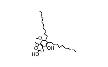 CCCCCCCCCCc1c(O)c(OC(=O)O)c(OC)c(OC)c1CCCCCCCCCC